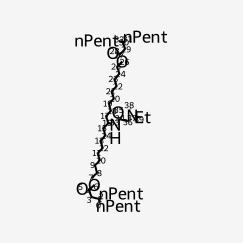 CCCCCC(CCCCC)CC(=O)OCCCCCCCCCC(CCCCCCCCCOC(=O)CC(CCCCC)CCCCC)NC(=O)CN(C)CC